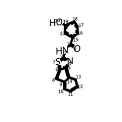 O=C(Nc1nc2c(s1)=CC1=CC=CCC=21)c1cccc(O)c1